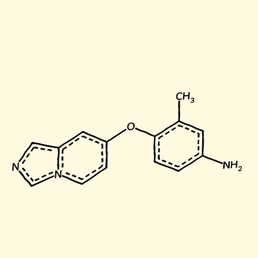 Cc1cc(N)ccc1Oc1ccn2cncc2c1